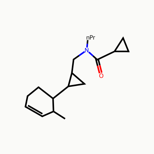 CCCN(CC1CC1C1CCC=CC1C)C(=O)C1CC1